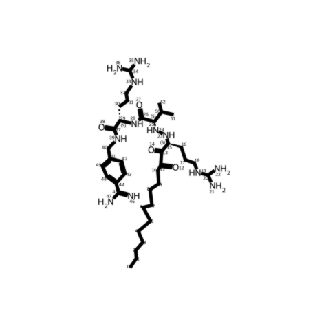 CCCCCCCCCCCC(=O)C(=O)[C@H](CCCNC(N)N)NN[C@H](C(=O)N[C@@H](CCCNC(N)N)C(=O)NCc1ccc(C(=N)N)cc1)C(C)C